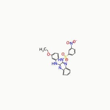 CCOc1cccc(Nc2nc3ccccc3nc2NS(=O)(=O)c2cccc([N+](=O)[O-])c2)c1